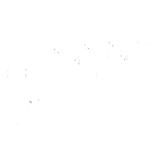 C=Cc1nc(-c2c(C)nc(CN3CCC(c4cccc5c4O[C@@](C)(c4ccc(Cl)cc4F)C5)CC3)n2CC2CCC2)c[nH]1